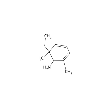 CCC1(C)C=CC=C(C)C1N